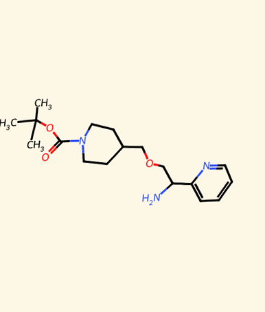 CC(C)(C)OC(=O)N1CCC(COCC(N)c2ccccn2)CC1